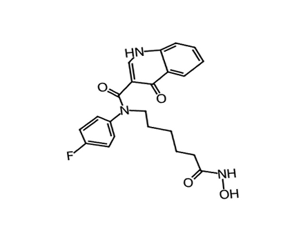 O=C(CCCCCN(C(=O)c1c[nH]c2ccccc2c1=O)c1ccc(F)cc1)NO